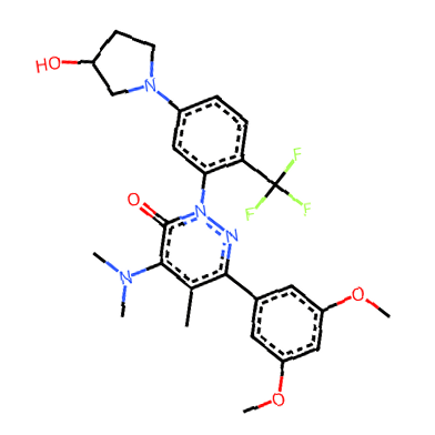 COc1cc(OC)cc(-c2nn(-c3cc(N4CCC(O)C4)ccc3C(F)(F)F)c(=O)c(N(C)C)c2C)c1